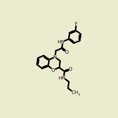 CCCNC(=O)C1CN(CC(=O)Nc2cccc(F)c2)c2ccccc2O1